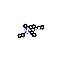 CCCc1ccccc1CCC1=CC2CCC(c3ccccc3-c3nc(-c4ccc5ccccc5c4)nc(-c4ccc5ccccc5c4)n3)CC2C=C1